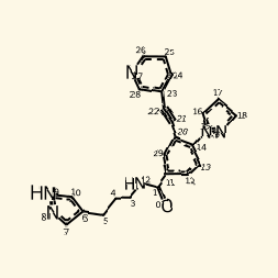 O=C(NCCCc1cn[nH]c1)c1ccc(-n2cccn2)c(C#Cc2cccnc2)c1